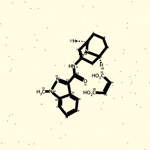 CN1[C@@H]2CCC[C@H]1CC(NC(=O)c1nn(C)c3ccccc13)C2.O=C(O)/C=C\C(=O)O